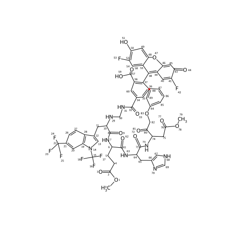 COC(=O)CCC(NC(=O)C(Cc1cn(C(F)(F)F)c2cc(C(F)(F)F)ccc12)NCNC(=O)c1ccc(-c2c3cc(F)c(=O)cc-3oc3cc(O)c(F)cc23)c(C(=O)O)c1)C(=O)NC(Cc1c[nH]cn1)C(=O)NC(CC(=O)OC)C(=O)COc1ccccc1